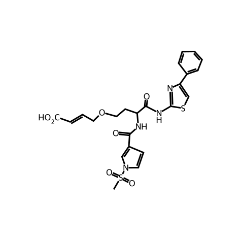 CS(=O)(=O)n1ccc(C(=O)NC(CCOCC=CC(=O)O)C(=O)Nc2nc(-c3ccccc3)cs2)c1